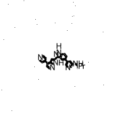 CC(C)Nc1cncc(-c2ccc3[nH]nc(-c4cc5c(-c6ccncc6)ccnc5[nH]4)c3c2)c1